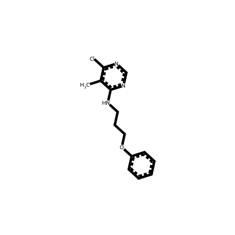 Cc1c(Cl)ncnc1NCCCOc1ccccc1